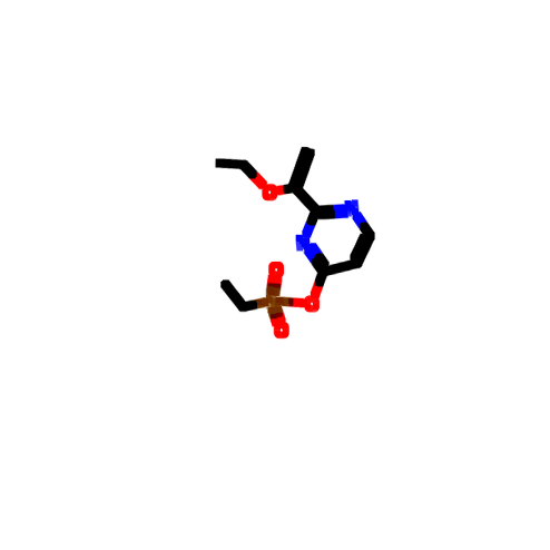 C=C(OCC)c1nccc(OS(=O)(=O)CC)n1